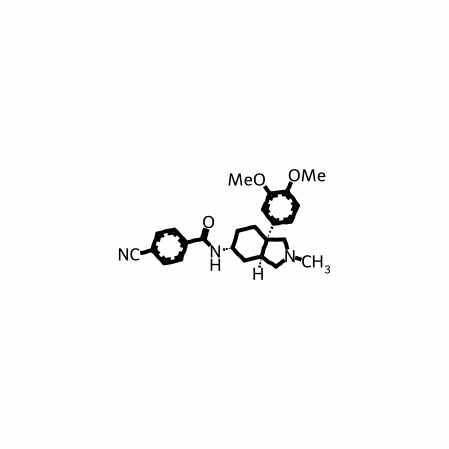 COc1ccc([C@@]23CC[C@@H](NC(=O)c4ccc(C#N)cc4)C[C@@H]2CN(C)C3)cc1OC